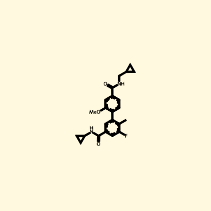 COc1cc(C(=O)NCC2CC2)ccc1-c1cc(C(=O)NC2CC2)cc(F)c1C